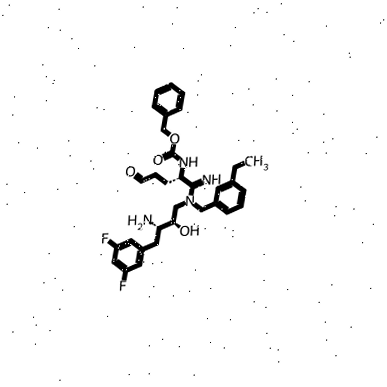 CCc1cccc(CN(C[C@@H](O)[C@@H](N)Cc2cc(F)cc(F)c2)C(=N)[C@H](CCC=O)NC(=O)OCc2ccccc2)c1